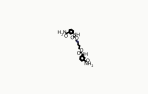 NC(=O)c1cccc(NC(=O)O/C=C/CCCOC(=O)Nc2cccc(C(N)=O)c2)c1